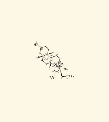 C[C@]12CC[C@@H](O)C[C@H]1CC[C@@H]1[C@@H]2CC[C@]2(C)[C@@H]3CC[C@]12O[C@@H](N)[C@H]3CC(=O)O